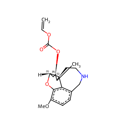 C=COC(=O)O[C@@H]1C[C@@H]2Oc3c(OC)ccc4c3[C@]2(CCNC4)C1C